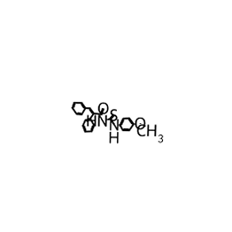 COc1ccc(NC(=S)NC(=O)C(=Cc2ccccc2)c2ccccc2)cc1